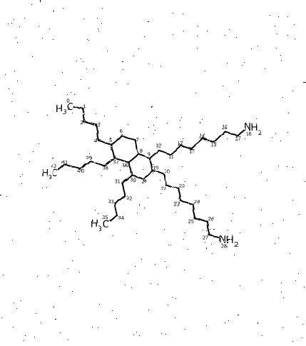 CCCCCC1CCC2C(CCCCCCCCN)C(CCCCCCCCN)CC(CCCCC)C2C1CCCCC